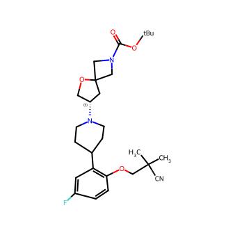 CC(C)(C#N)COc1ccc(F)cc1C1CCN([C@@H]2COC3(C2)CN(C(=O)OC(C)(C)C)C3)CC1